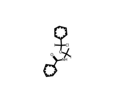 CC(I)(NC(=O)c1ccccc1)OC(Cl)(I)c1ccccc1